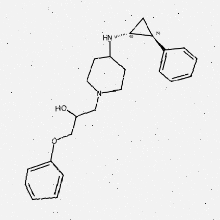 OC(COc1ccccc1)CN1CCC(N[C@@H]2C[C@H]2c2ccccc2)CC1